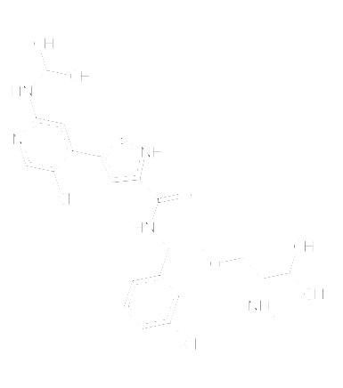 CC(C)Nc1cc(-c2c[nH]c(C(=O)N[C@H](COC[C@@H](N)C(C)C)c3cccc(Cl)c3)c2)c(Cl)cn1